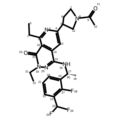 CCc1nc(C2CCN(C(C)=O)C2)cc2c(N[C@H](C)c3cccc(C(F)F)c3F)nn(CC)c(=O)c12